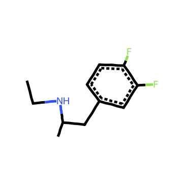 CCNC(C)Cc1ccc(F)c(F)c1